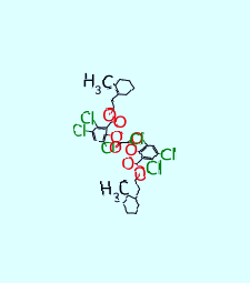 CC1CCCCC1CCOC(=O)c1c(Cl)c(Cl)cc(Cl)c1OC(=O)C(=O)Oc1c(Cl)cc(Cl)c(Cl)c1C(=O)OCCC1CCCCC1C